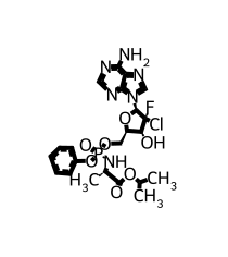 CC(C)OC(=O)[C@H](C)N[P@](=O)(OC[C@H]1O[C@@H](n2cnc3c(N)ncnc32)[C@@](F)(Cl)[C@@H]1O)Oc1ccccc1